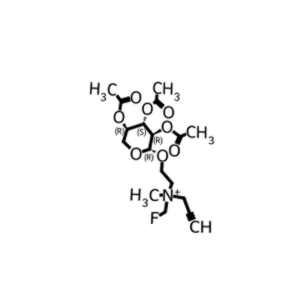 C#CC[N+](C)(CF)CCO[C@@H]1OC[C@@H](OC(C)=O)[C@H](OC(C)=O)[C@H]1OC(C)=O